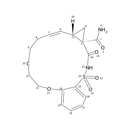 NC(=O)[C@@]12C[C@H]1/C=C\CCCCCOc1ccccc1S(=O)(=O)NC2=O